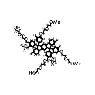 COCCOCCOc1ccc(C2(c3ccc(COCCOCCO)c(C[N+](C)(C)C)c3)c3cc(C)ccc3-c3cc4c(cc32)-c2ccc(C)cc2C4(c2ccc(OCCOCCOC)c(C)c2)c2ccc(COCCOCCO)c(C[N+](C)(C)C)c2)cc1C